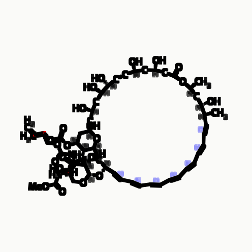 C=CCOC(=O)N[C@@H]1[C@H](O)[C@H](O[C@H]2/C=C/C=C/C=C/C=C/C=C/C=C/C=C/[C@H](C)[C@@H](O)C[C@H](C)OC(=O)C[C@H](O)C[C@H](O)CC[C@@H](O)[C@H](O)C[C@H](O)C[C@]3(O)C[C@H](OC(=O)OCC=C)[C@@H](NC(=O)NNC(=O)OC)[C@H](C2)O3)OC[C@H]1O